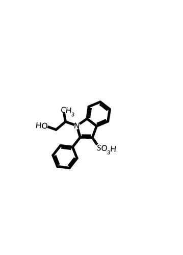 CC(CO)n1c(-c2ccccc2)c(S(=O)(=O)O)c2ccccc21